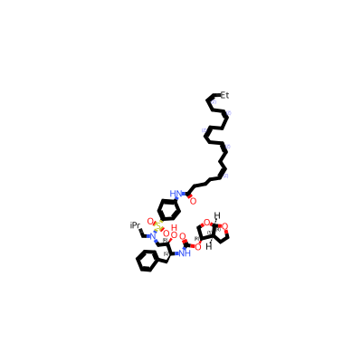 CC/C=C\C/C=C\C/C=C\C/C=C\C/C=C\CCCC(=O)Nc1ccc(S(=O)(=O)N(CC(C)C)C[C@@H](O)[C@H](Cc2ccccc2)NC(=O)O[C@H]2CO[C@H]3OCC[C@H]32)cc1